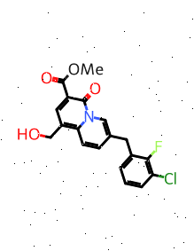 COC(=O)c1cc(CO)c2ccc(Cc3cccc(Cl)c3F)cn2c1=O